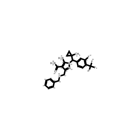 CC1(C(c2ccc(C(F)(F)F)c(F)c2)n2nc(COCc3ccccc3)c(C(N)=O)c2N)CC1